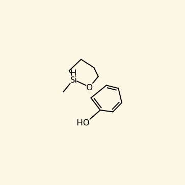 C[SiH]1CCCCO1.Oc1ccccc1